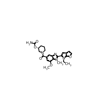 CCn1c(-c2nc3cc(C(=O)N4CCC[C@@H](OC(N)=O)C4)cc(OC)c3n2C)cc2ccoc21